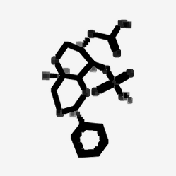 CC(C)(C)C(=O)O[C@H]1CO[C@@H]2CO[C@@H](c3ccccc3)OC2[C@@H]1OS(=O)(=O)C(F)(F)F